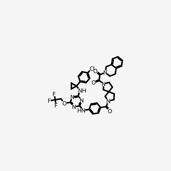 O=C(C(=O)N1CCC2(CCN(C(=O)c3ccc(Nc4nc(NC5(c6ccc(Cl)cc6)CC5)nc(OCC(F)(F)F)n4)cc3)C2)C1)N1CCc2ccccc2C1